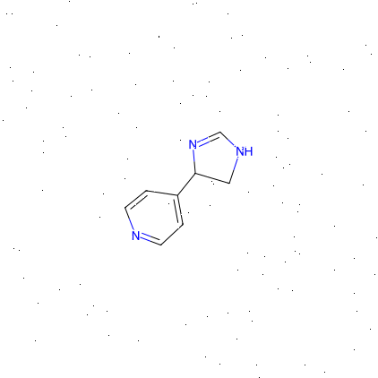 C1=NC(c2ccncc2)CN1